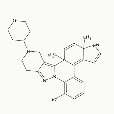 CCc1cccc2c1-n1nc3c(c1C1(C)C=CC4(C)NC=CC4=C21)CN(C1CCOCC1)CC3